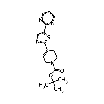 CC(C)(C)OC(=O)N1CC=C(c2ncc(-c3ncccn3)s2)CC1